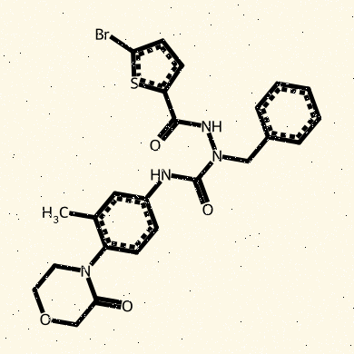 Cc1cc(NC(=O)N(Cc2ccccc2)NC(=O)c2ccc(Br)s2)ccc1N1CCOCC1=O